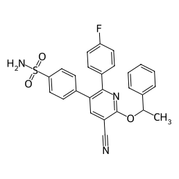 CC(Oc1nc(-c2ccc(F)cc2)c(-c2ccc(S(N)(=O)=O)cc2)cc1C#N)c1ccccc1